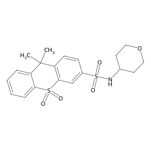 CC1(C)c2ccccc2S(=O)(=O)c2cc(S(=O)(=O)NC3CCOCC3)ccc21